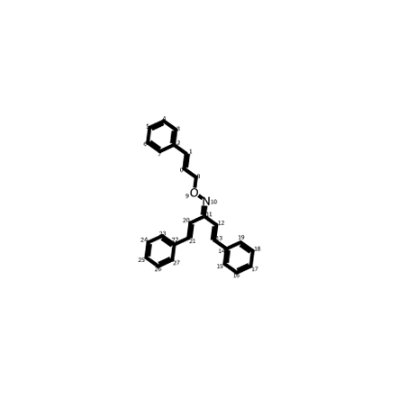 C(=C\c1ccccc1)/CON=C(/C=C/c1ccccc1)/C=C/c1ccccc1